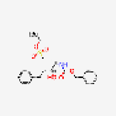 CC(C)(C)COS(=O)(=O)CC[C@H](NC(=O)OCc1ccccc1)[C@H](O)CCc1ccccc1